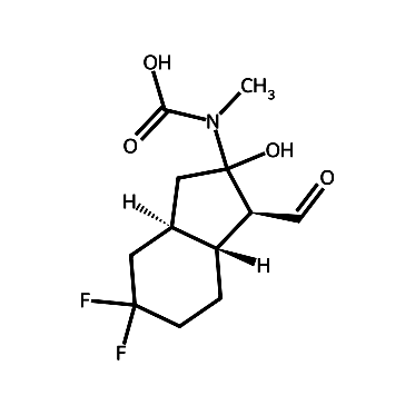 CN(C(=O)O)C1(O)C[C@@H]2CC(F)(F)CC[C@H]2[C@@H]1C=O